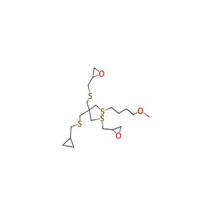 COCCCCSCC(CSCC1CC1)(CSCC1CO1)CSCC1CO1